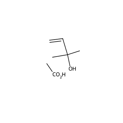 C=CC(C)(C)O.CC(=O)O